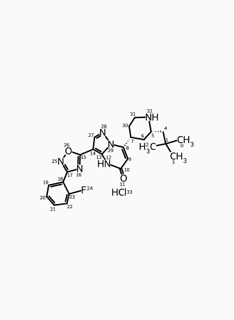 CC(C)(C)C[C@@H]1C[C@H](c2cc(=O)[nH]c3c(-c4nc(-c5ccccc5F)no4)cnn23)CCN1.Cl